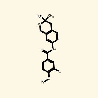 CC(C)Oc1ccc(C(=O)Nc2ccc3c(c2)CNC(C)(C)C3)cc1Cl